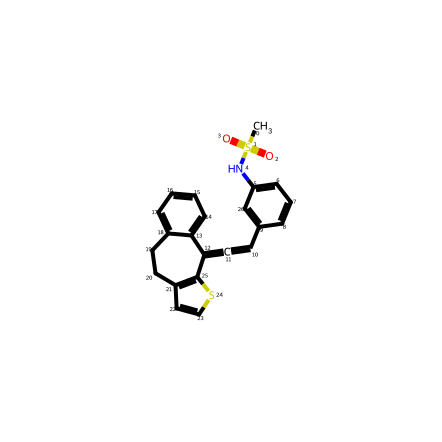 CS(=O)(=O)Nc1cccc(C=C=C2c3ccccc3CCc3ccsc32)c1